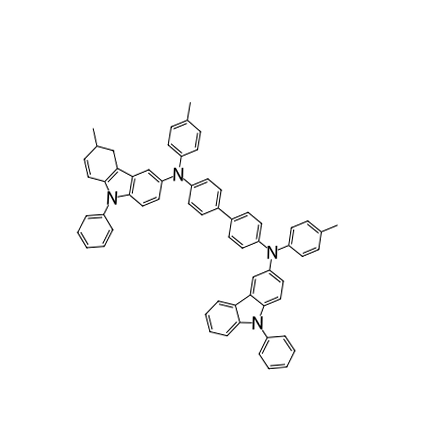 Cc1ccc(N(c2ccc(-c3ccc(N(c4ccc(C)cc4)c4ccc5c(c4)c4ccccc4n5-c4ccccc4)cc3)cc2)c2ccc3c(c2)c2c(n3-c3ccccc3)C=CC(C)C2)cc1